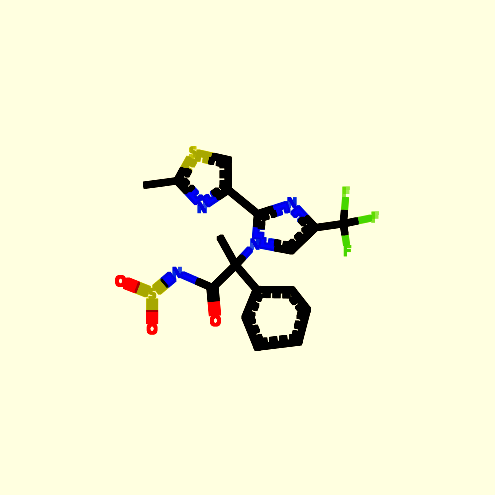 Cc1nc(-c2nc(C(F)(F)F)cn2C(C)(C(=O)N=S(=O)=O)c2ccccc2)cs1